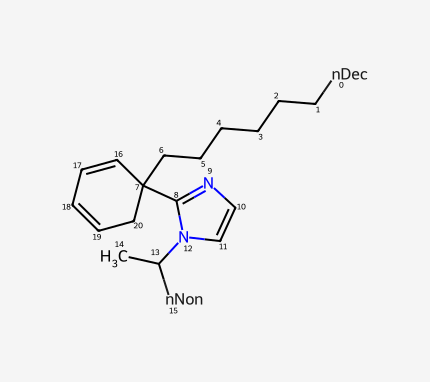 CCCCCCCCCCCCCCCCC1(c2nccn2C(C)CCCCCCCCC)C=CC=CC1